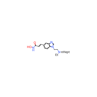 CCCCCCCN(CC)CCn1cnc2cc(/C=C/C(=O)NO)ccc21